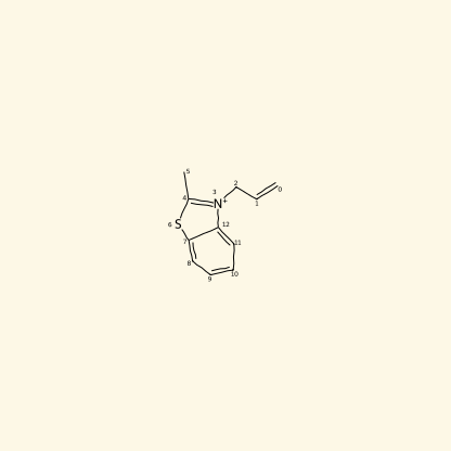 C=CC[n+]1c(C)sc2ccccc21